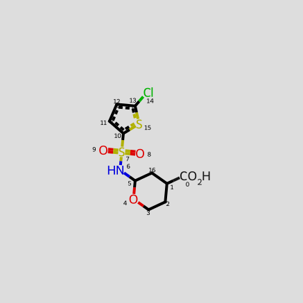 O=C(O)C1CCOC(NS(=O)(=O)c2ccc(Cl)s2)C1